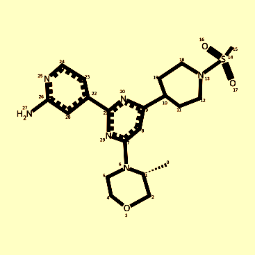 C[C@@H]1COCCN1c1cc(C2CCN(S(C)(=O)=O)CC2)nc(-c2ccnc(N)c2)n1